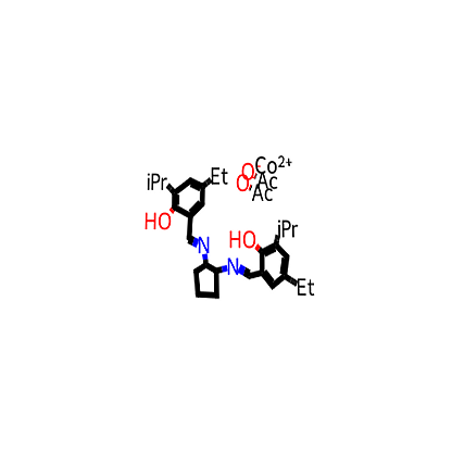 CC(=O)[O-].CC(=O)[O-].CCc1cc(C=NC2CCCC2N=Cc2cc(CC)cc(C(C)C)c2O)c(O)c(C(C)C)c1.[Co+2]